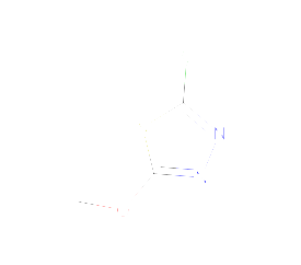 COc1nnc(Cl)s1